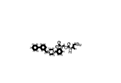 CCC(C)CC(C)NC(=O)OCn1c(=O)oc2c(N3CCN(Cc4cccc(-c5ccccc5)c4)CC3)cccc21